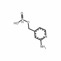 Nc1cc(CO[PH](=O)O)ccn1